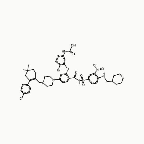 CC1(C)CCC(CN2CCN(c3ccc(C(=O)NS(=O)(=O)c4ccc(NCC5CCOCC5)c([N+](=O)[O-])c4)c(Oc4cc(NC(=O)O)ncc4Br)c3)CC2)=C(c2ccc(Cl)cc2)C1